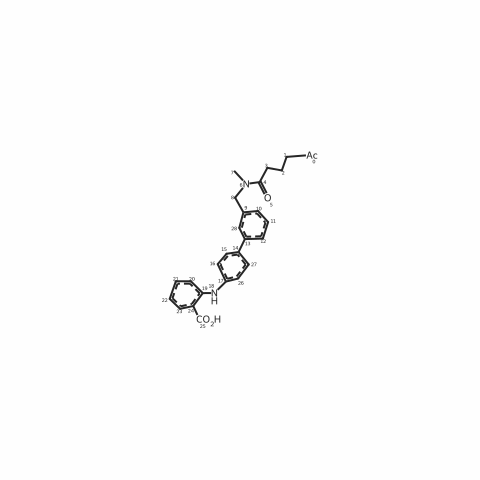 CC(=O)CCCC(=O)N(C)Cc1cccc(-c2ccc(Nc3ccccc3C(=O)O)cc2)c1